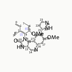 C=C/C(F)=C(\C(=C/C)OC)n1c(=O)[nH]c2cnc3cc(OC)c(-c4ccn[nH]4)cc3c21